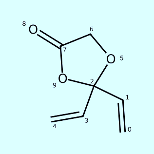 C=CC1(C=C)OCC(=O)O1